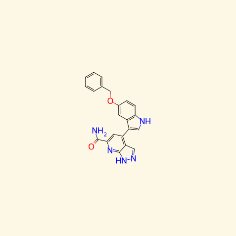 NC(=O)c1cc(-c2c[nH]c3ccc(OCc4ccccc4)cc23)c2cn[nH]c2n1